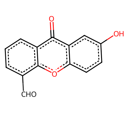 O=Cc1cccc2c(=O)c3cc(O)ccc3oc12